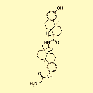 C[C@]1(C(=O)NC(=O)[C@@]2(C)CCC[C@]3(C)c4cc(NC(=O)CN)ccc4CC[C@@H]23)CCC[C@]2(C)c3cc(O)ccc3CC[C@@H]12